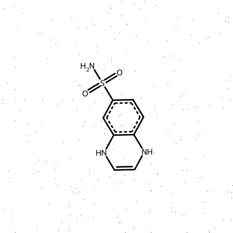 NS(=O)(=O)c1ccc2c(c1)NC=CN2